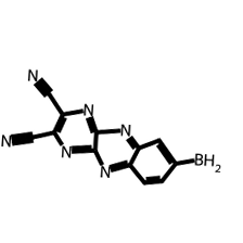 Bc1ccc2nc3nc(C#N)c(C#N)nc3nc2c1